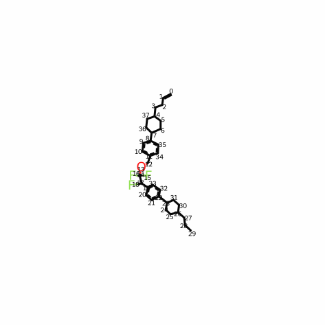 C=CCCC1CCC(c2ccc(COC(F)(F)C(F)c3ccc(C4CCC(CCC)CC4)cc3)cc2)CC1